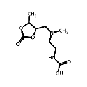 CC1OC(=O)OC1CN(C)CCNC(=O)O